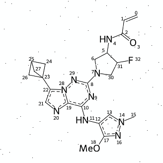 C=CC(=O)NC1CN(c2nc(Nc3cn(C)nc3OC)c3ncc(C45CC(C4)C5)n3n2)CC1F